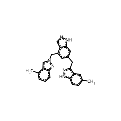 Cc1ccc2[nH]nc(Cc3cc(Cn4cc5c(C)cccc5n4)c4cn[nH]c4c3)c2c1